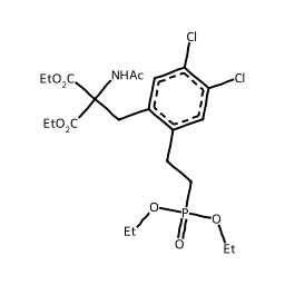 CCOC(=O)C(Cc1cc(Cl)c(Cl)cc1CCP(=O)(OCC)OCC)(NC(C)=O)C(=O)OCC